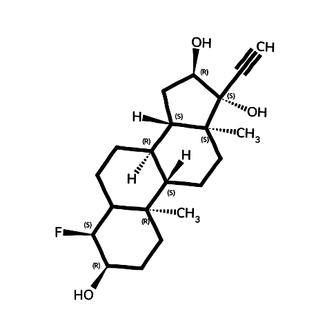 C#C[C@]1(O)[C@H](O)C[C@H]2[C@@H]3CCC4[C@H](F)[C@H](O)CC[C@]4(C)[C@H]3CC[C@@]21C